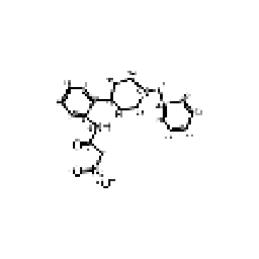 O=C(C[N+](=O)[O-])Nc1ccccc1C1CCN(Cc2ccccc2)CC1